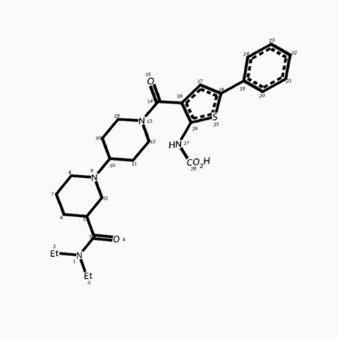 CCN(CC)C(=O)C1CCCN(C2CCN(C(=O)c3cc(-c4ccccc4)sc3NC(=O)O)CC2)C1